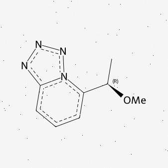 CO[C@H](C)c1cccc2nnnn12